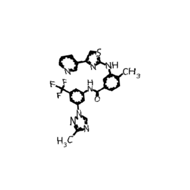 Cc1ncn(-c2cc(NC(=O)c3ccc(C)c(Nc4nc(-c5cccnc5)cs4)c3)cc(C(F)(F)F)c2)n1